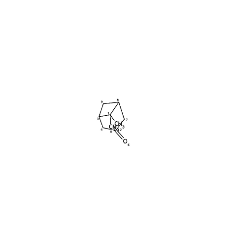 CC1(C)C2CC(=O)CC1C2